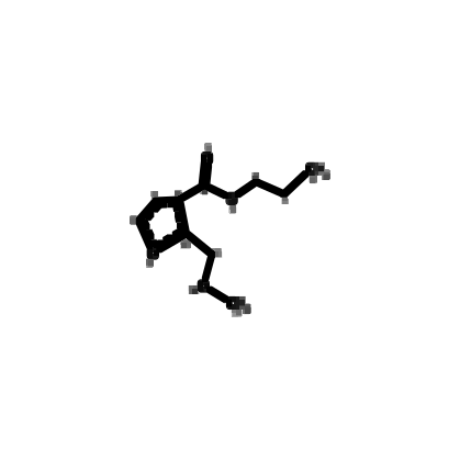 CCCOC(=O)c1ccoc1COC